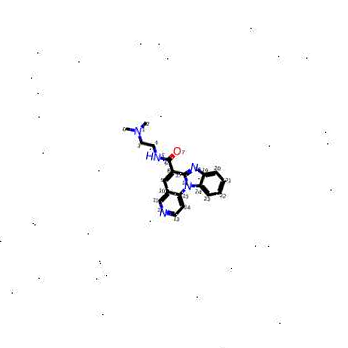 CN(C)CCNC(=O)c1cc2cnccc2n2c1nc1ccccc12